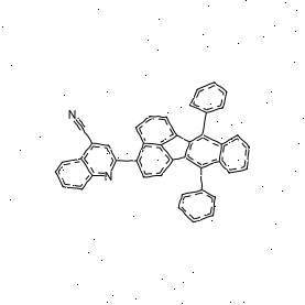 N#Cc1cc(-c2ccc3c4c(cccc24)-c2c-3c(-c3ccccc3)c3ccccc3c2-c2ccccc2)nc2ccccc12